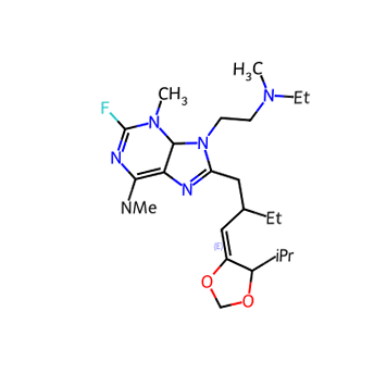 CCC(/C=C1/OCOC1C(C)C)CC1=NC2=C(NC)N=C(F)N(C)C2N1CCN(C)CC